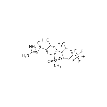 Cc1cc(-c2ccc(S(F)(F)(F)(F)F)cc2C)c(S(C)(=O)=O)cc1C(=O)N=C(N)N